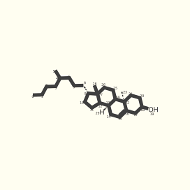 CCCCC(C)CCC[C@H]1CCC2[C@@H]3CC=C4CC(O)CC[C@]4(C)C3CCC21C